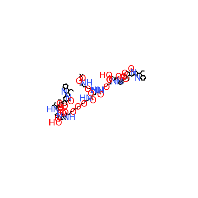 CCc1c2c(nc3ccccc13)-c1cc3c(c(=O)n1C2)COC(=O)[C@]3(CC)OC(=O)[C@H]1CCCN1C(=O)[C@@H](CC(=O)O)NC(=O)CCOCCNC(=O)C(CCC(=O)NCCOCCOCCOCCC(=O)N[C@@H](CC(=O)O)C(=O)N1CCCC1C(=O)N[C@H](C(=O)O[C@]1(CC)C(=O)OCc2c1cc1n(c2=O)Cc2c-1nc1ccccc1c2CC)C(C)C)NC(=O)COCCC(C)NC(=O)OC(C)(C)C